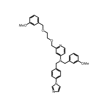 COc1cccc(COCCOCc2cc(N(Cc3ccc(-n4ccnc4)cc3)Cc3cccc(OC)c3)ccn2)c1